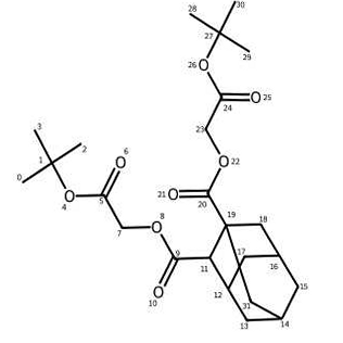 CC(C)(C)OC(=O)COC(=O)C1C2CC3CC(C2)CC1(C(=O)OCC(=O)OC(C)(C)C)C3